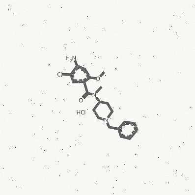 COc1cc(N)c(Cl)cc1C(=O)N(C)C1CCN(Cc2ccccc2)CC1.Cl